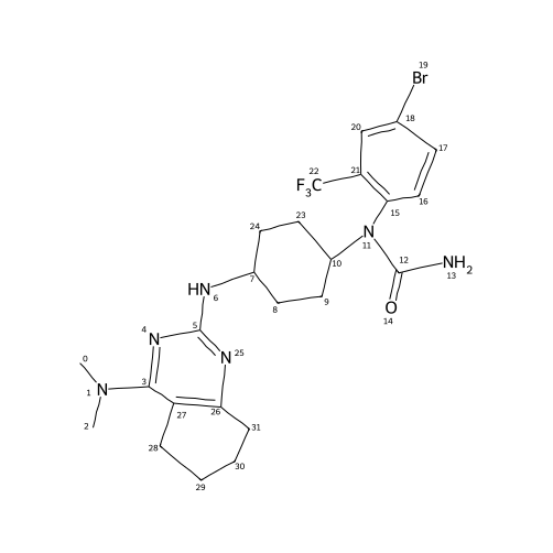 CN(C)c1nc(NC2CCC(N(C(N)=O)c3ccc(Br)cc3C(F)(F)F)CC2)nc2c1CCCC2